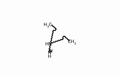 CCCCC/C=C\C/C=C\CCCCCCCCC(CCCCCCCC/C=C\C/C=C\CCCCC)NCCCCC1CNC=N1